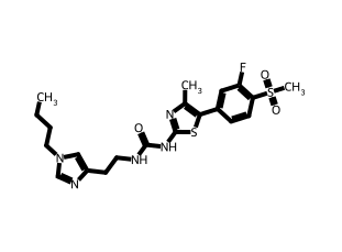 CCCCn1cnc(CCNC(=O)Nc2nc(C)c(-c3ccc(S(C)(=O)=O)c(F)c3)s2)c1